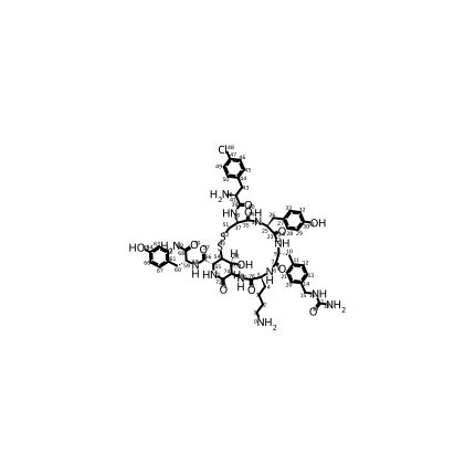 NCCCC[C@@H]1NC(=O)[C@@H](Cc2ccc(CNC(N)=O)cc2)NC(=O)[C@H](Cc2ccc(O)cc2)NC(=O)[C@H](NC(=O)[C@@H](N)Cc2ccc(Cl)cc2)CSSC2[C@@H](C(=O)N[C@H](Cc3ccc(O)cc3)C(N)=O)NC(=O)[C@@H](NC1=O)[C@@H]2O